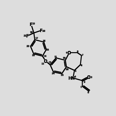 C=CC(=O)NC1CCCOc2cc(Oc3ccc(C(F)(F)F)cc3)ccc21